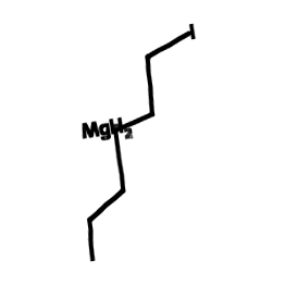 CCCCCCI.[MgH2]